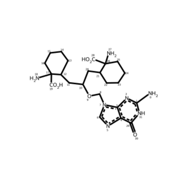 Nc1nc2c(ncn2COC(CC2CCCCC2(N)C(=O)O)CC2CCCCC2(N)C(=O)O)c(=O)[nH]1